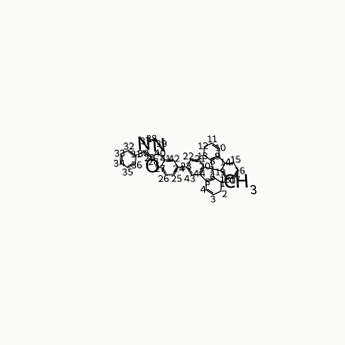 CC1CC=CC2=C1C1(C3=C(C=CCC3)c3ccccc31)c1ccc(-c3ccc4oc5c(-c6ccccc6)ncnc5c4c3)cc12